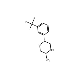 C[C@H]1CO[C@H](c2cccc(C(F)(F)F)c2)CN1